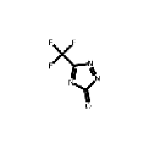 O=C1N=NC(C(F)(F)F)=N1